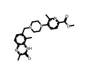 COC(=O)c1ccc(N2CCN(Cc3ccc4nc(C)c(=O)[nH]c4c3C)CC2)c(C)n1